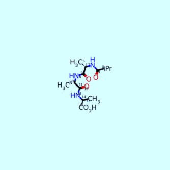 CC(C)C(=O)N[C@@H](C)C(=O)N[C@@H](C)C(=O)N[C@@H](C)C(=O)O